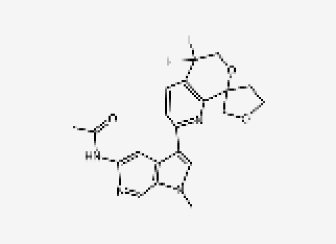 CC(=O)Nc1cc2c(-c3ccc4c(n3)C3(CCOC3)OCC4(I)I)cn(C)c2cn1